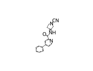 N#CN1CC[C@@H](NC(=O)c2cc(-c3ccccc3)ccn2)C1